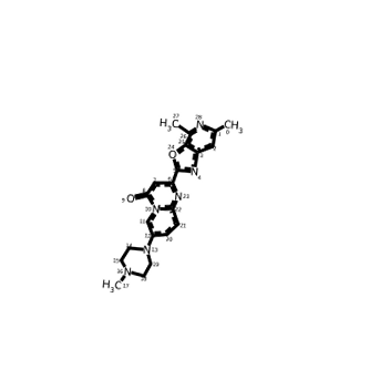 Cc1cc2nc(-c3cc(=O)n4cc(N5CCN(C)CC5)ccc4n3)oc2c(C)n1